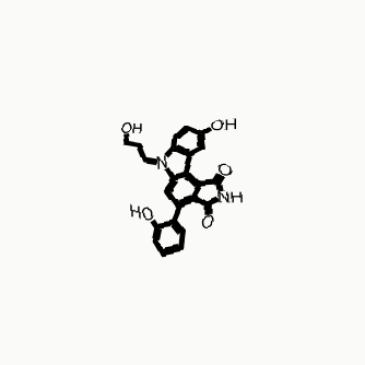 O=C1NC(=O)c2c1c(-c1ccccc1O)cc1c2c2cc(O)ccc2n1CCCO